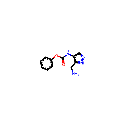 NCc1[nH]ncc1NC(=O)Oc1ccccc1